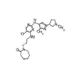 Cc1nn(C2CCN(C)C2)cc1Nc1ncc(Cl)c(NCCCN2CCCCCC2=O)n1